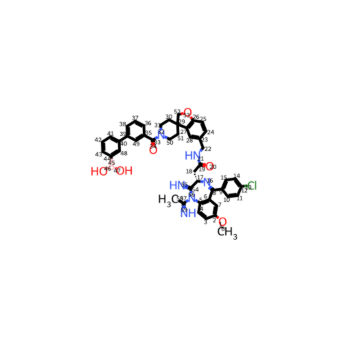 COc1ccc2c(c1)C(c1ccc(Cl)cc1)=N[C@@H](CC(=O)NCc1ccc3c(c1)C1(CCN(C(=O)c4cccc(-c5cccc(B(O)O)c5)c4)CC1)CO3)C(=N)N2C(C)=N